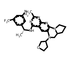 Cc1nc(N[C@H](C)c2cc(N)cc(C(F)(F)F)c2)c2cc3c(nc2n1)N1CCCC1CN3C1CCOC1